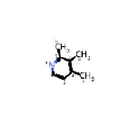 Cc1c[c]nc(C)c1C